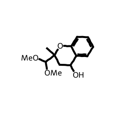 COC(OC)C1(C)CC(O)c2ccccc2O1